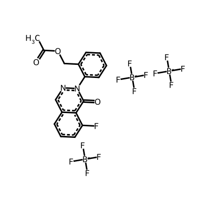 CC(=O)OCc1ccccc1-n1ncc2cccc(F)c2c1=O.F[B-](F)(F)F.F[B-](F)(F)F.F[B-](F)(F)F